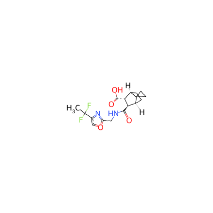 CC(F)(F)c1coc(CNC(=O)[C@H]2[C@H](C(=O)O)[C@H]3CC[C@@H]2C32CC2)n1